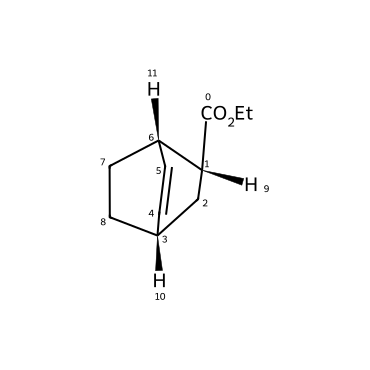 CCOC(=O)[C@@H]1C[C@H]2C=C[C@@H]1CC2